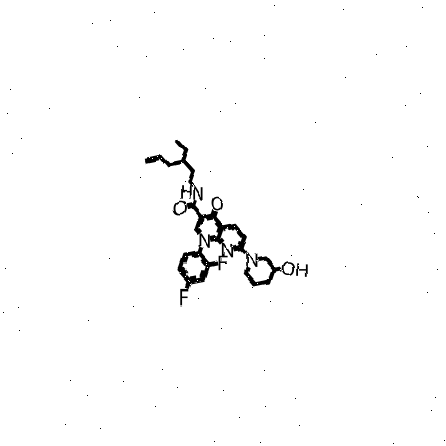 C=CCC(CC)CCNC(=O)c1cn(-c2ccc(F)cc2F)c2nc(N3CCCC(O)C3)ccc2c1=O